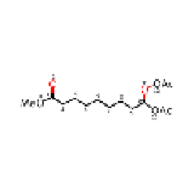 COC(=O)CCCCCCCC(OOC(C)=O)OC(C)=O